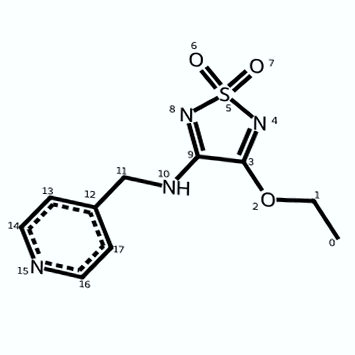 CCOC1=NS(=O)(=O)N=C1NCc1ccncc1